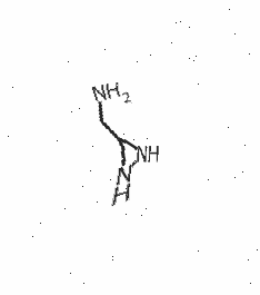 NCC1NN1